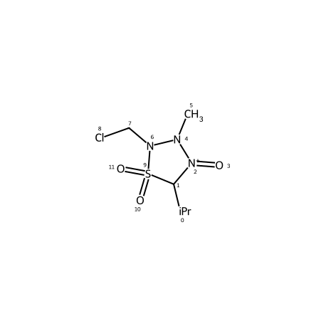 CC(C)C1[N+](=O)N(C)N(CCl)S1(=O)=O